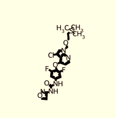 C[Si](C)(C)CCOCn1cc(Cl)c2c(Oc3c(F)cc(NC(=O)Nc4ccon4)cc3F)ccnc21